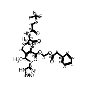 CC(Sc1nnn[nH]1)C1=C(C(=O)OCOC(=O)Cc2ccccc2)N2C(=O)C(NC(=O)CSC(F)(F)F)[C@@H]2SC1